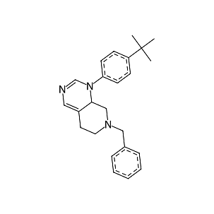 CC(C)(C)c1ccc(N2C=NC=C3CCN(Cc4ccccc4)CC32)cc1